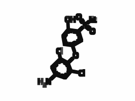 CCS(=O)(=O)c1cc(Oc2c(Cl)cc(N)cc2Cl)ccc1O